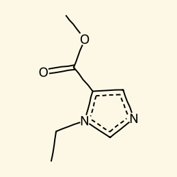 CCn1cncc1C(=O)OC